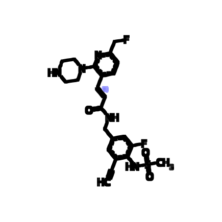 C#Cc1cc(CNC(=O)/C=C/c2ccc(CF)nc2N2CCNCC2)cc(F)c1NS(C)(=O)=O